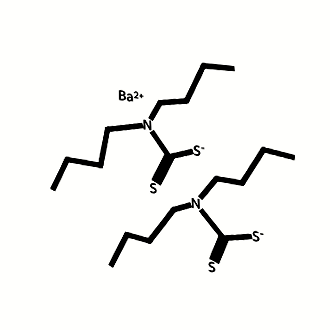 CCCCN(CCCC)C(=S)[S-].CCCCN(CCCC)C(=S)[S-].[Ba+2]